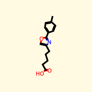 Cc1ccc(-c2nc(CCCCC(=O)O)co2)cc1